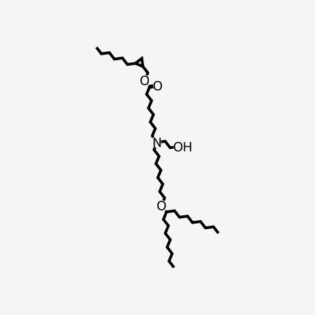 CCCCCCCCC(CCCCCCCC)OCCCCCCCCN(CCO)CCCCCCCC(=O)OCC1CC1CCCCCC